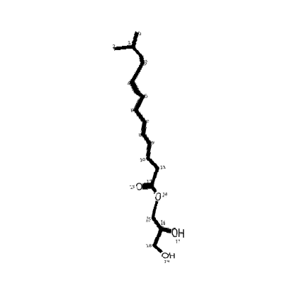 CC(C)CCCCCCCCCC(=O)OCC(O)CO